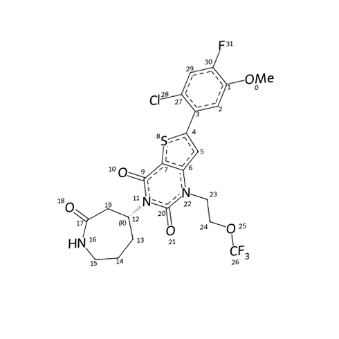 COc1cc(-c2cc3c(s2)c(=O)n([C@@H]2CCCNC(=O)C2)c(=O)n3CCOC(F)(F)F)c(Cl)cc1F